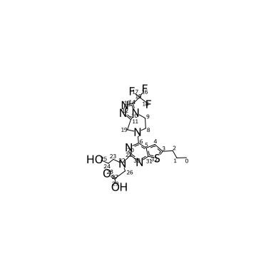 CCCc1cc2c(N3CCn4c(nnc4C(F)(F)F)C3)nc(N(CCO)CC(=O)O)nc2s1